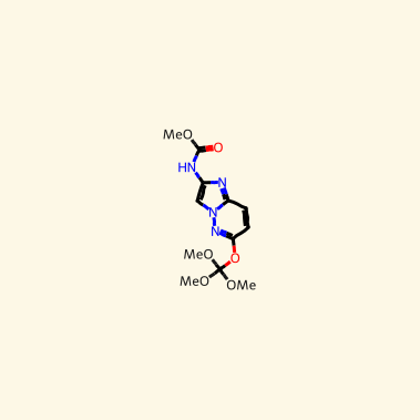 COC(=O)Nc1cn2nc(OC(OC)(OC)OC)ccc2n1